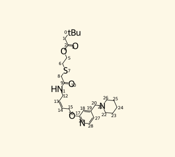 CC(C)(C)CC(=O)OCCSCC(=O)NC/C=C\COc1cc(CN2CCCCC2)ccn1